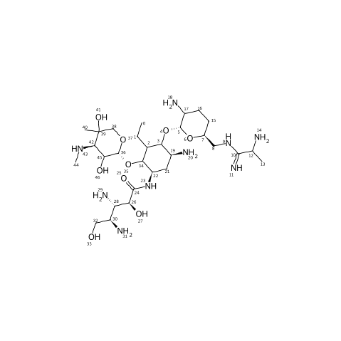 CCC1C(O[C@H]2O[C@H](CNC(=N)C(C)N)CCC2N)[C@@H](N)C[C@@H](NC(=O)[C@@H](O)[C@@H](N)[C@@H](N)CO)C1O[C@H]1OCC(C)(O)[C@H](NC)C1O